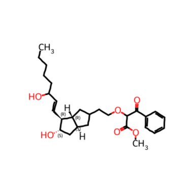 CCCCCC(O)C=C[C@H]1[C@@H]2CC(CCOC(C(=O)OC)C(=O)c3ccccc3)C[C@H]2C[C@@H]1O